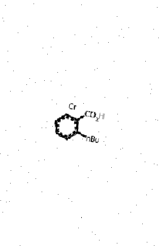 CCCCc1ccccc1C(=O)O.[Cr]